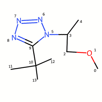 COCC(C)n1nnnc1C(C)(C)C